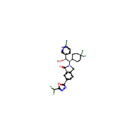 O=C1c2cc(-c3nnc(C(F)F)o3)ccc2CN1[C@H](C1CCC(F)(F)CC1)[C@@H](O)c1ccc(F)nc1